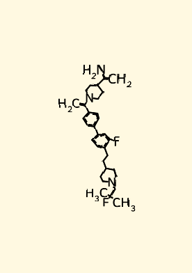 C=C(N)C1CCN(C(=C)c2ccc(-c3ccc(CCC4CCN(CC(C)(C)F)CC4)c(F)c3)cc2)CC1